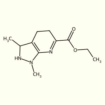 CCOC(=O)C1=NC2=C(CC1)C(C)NN2C